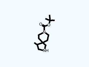 CC1CNCC12CCN(C(=O)OC(C)(C)C)CC2